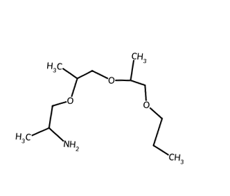 CCCOCC(C)OCC(C)OCC(C)N